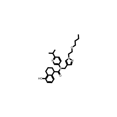 CCCCOCCn1cc(CN(C(=O)C2CCCc3c(O)cccc32)c2ccc(C(C)C)nc2)cn1